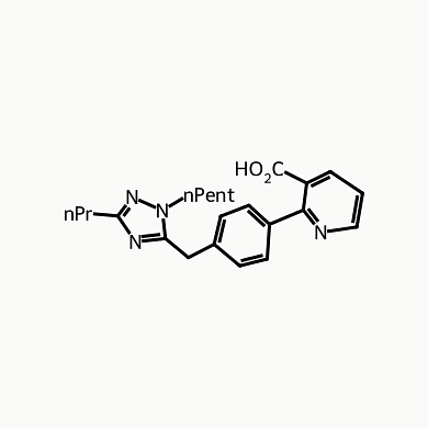 CCCCCn1nc(CCC)nc1Cc1ccc(-c2ncccc2C(=O)O)cc1